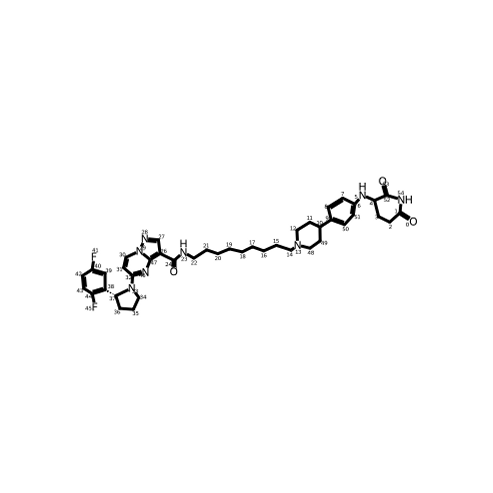 O=C1CCC(Nc2ccc(C3CCN(CCCCCCCCCNC(=O)c4cnn5ccc(N6CCC[C@@H]6c6cc(F)ccc6F)nc45)CC3)cc2)C(=O)N1